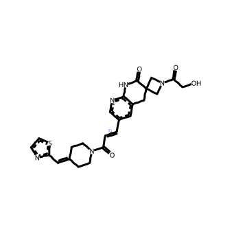 O=C(/C=C/c1cnc2c(c1)CC1(CN(C(=O)CO)C1)C(=O)N2)N1CCC(=Cc2nccs2)CC1